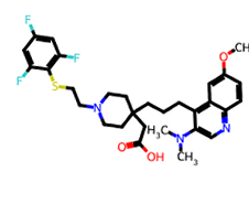 COc1ccc2ncc(N(C)C)c(CCCC3(CC(=O)O)CCN(CCSc4c(F)cc(F)cc4F)CC3)c2c1